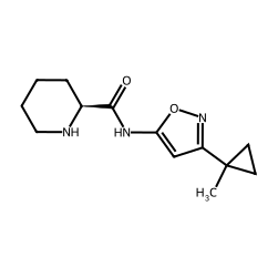 CC1(c2cc(NC(=O)[C@@H]3CCCCN3)on2)CC1